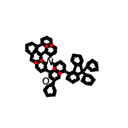 c1ccc(-c2cccc3cccc(-c4ccccc4N(c4ccc(-c5cccc6c5-c5ccccc5C6(c5ccccc5)c5ccccc5)cc4)c4ccccc4-c4cccc5c4oc4ccccc45)c23)cc1